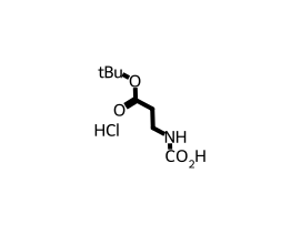 CC(C)(C)OC(=O)CCNC(=O)O.Cl